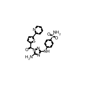 Nc1nc(Nc2ccc(S(N)(=O)=O)cc2)nn1C(=O)c1ccc(-c2ccccn2)s1